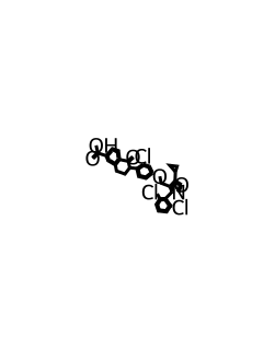 O=C(O)c1ccc2c(c1)CCC(c1ccc(OCc3c(-c4c(Cl)cccc4Cl)noc3C3CC3)cc1Cl)C2=O